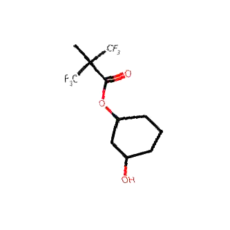 CC(C(=O)OC1CCCC(O)C1)(C(F)(F)F)C(F)(F)F